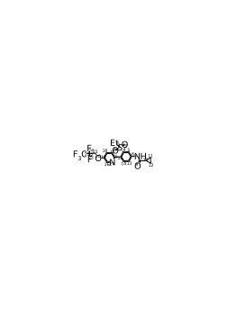 CCS(=O)(=O)c1cc(NC(=O)C2CC2)ccc1-c1ccc(OCC(F)(F)C(F)(F)F)cn1